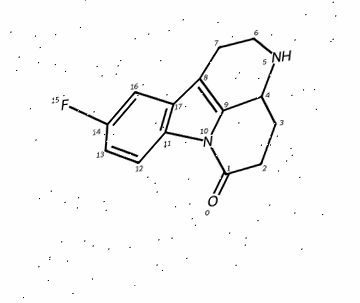 O=C1CCC2NCCc3c2n1c1ccc(F)cc31